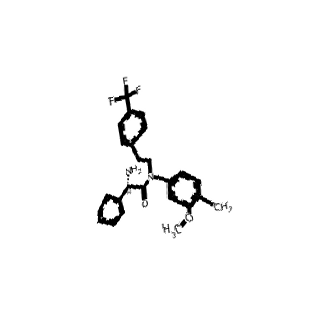 COc1cc(N(CCc2ccc(C(F)(F)F)cc2)C(=O)[C@@H](N)c2ccccc2)ccc1C